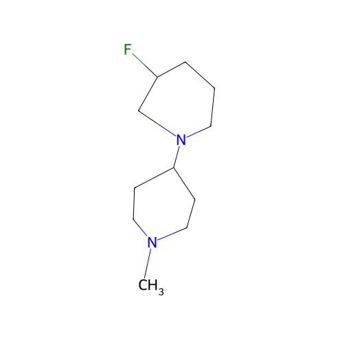 CN1CCC(N2CCCC(F)C2)CC1